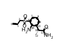 C=CCS(=O)(=O)c1cccc([C@@H](C)C(N)=O)c1N